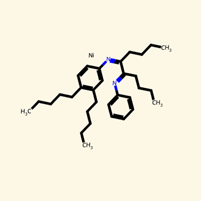 CCCCCc1ccc(N=C(CCCC)C(CCCC)=Nc2ccccc2)cc1CCCCC.[Ni]